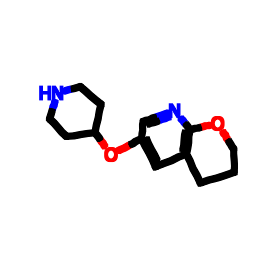 c1nc2c(cc1OC1CCNCC1)CCCO2